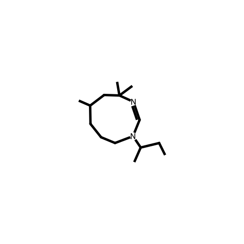 CCC(C)N1/C=N\C(C)(C)CC(C)CCC1